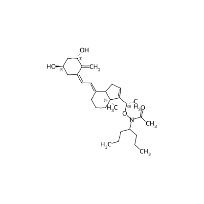 C=C1C(=CC=C2CCC[C@]3(C)C([C@H](C)ON(C(C)=O)C(CCC)CCC)=CCC23)C[C@@H](O)C[C@@H]1O